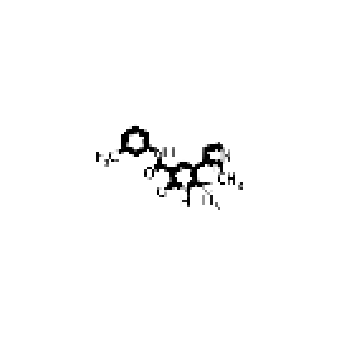 Cc1[nH]c(=O)c(C(=O)Nc2cccc(C(F)(F)F)c2)cc1-c1ccnn1C